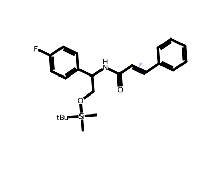 CC(C)(C)[Si](C)(C)OCC(NC(=O)/C=C/c1ccccc1)c1ccc(F)cc1